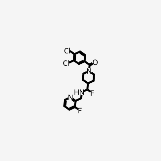 O=C(c1ccc(Cl)c(Cl)c1)N1CCC(C(F)NCc2ncccc2F)CC1